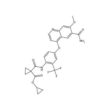 COc1cc2nccc(Oc3ccc(NC(=O)C4(C(=O)OC5CC5)CC4)c(C(F)(F)F)c3)c2cc1C(N)=O